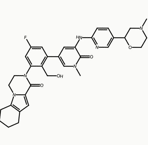 CN1CCOC(c2ccc(Nc3cc(-c4cc(F)cc(N5CCn6c(cc7c6CCCC7)C5=O)c4CO)cn(C)c3=O)nc2)C1